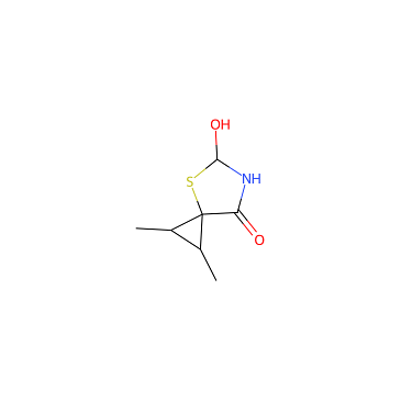 CC1C(C)C12SC(O)NC2=O